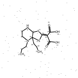 CCCN1CCNC2SC(=C(C(=O)O)C(=O)O)SC21CCC